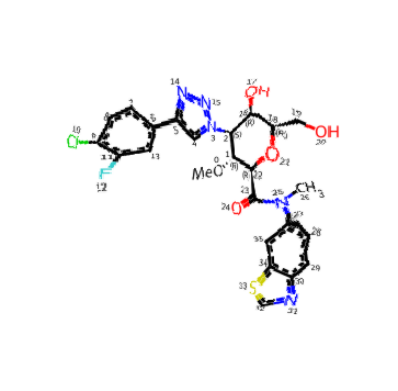 CO[C@@H]1[C@@H](n2cc(-c3ccc(Cl)c(F)c3)nn2)[C@@H](O)[C@@H](CO)O[C@H]1C(=O)N(C)c1ccc2ncsc2c1